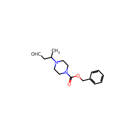 CC(CC=O)N1CCN(C(=O)OCc2ccccc2)CC1